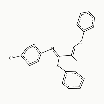 C/C(=C\Sc1ccccc1)C(=Nc1ccc(Cl)cc1)Sc1ccccc1